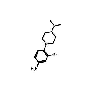 CN(C)C1CCN(c2ccc(N)cc2Br)CC1